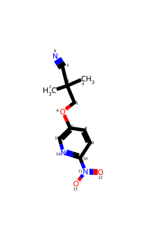 CC(C)(C#N)COc1ccc([N+](=O)[O-])nc1